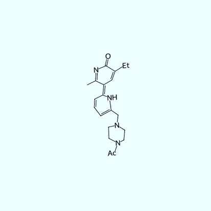 CCC1=CC(=C2C=CC=C(CN3CCN(C(C)=O)CC3)N2)C(C)=NC1=O